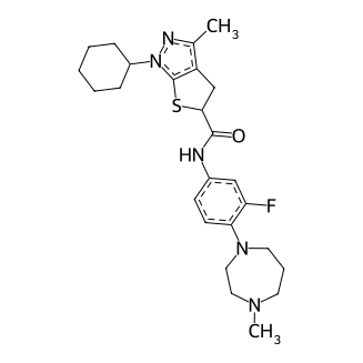 Cc1nn(C2CCCCC2)c2c1CC(C(=O)Nc1ccc(N3CCCN(C)CC3)c(F)c1)S2